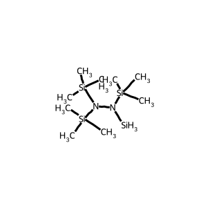 C[Si](C)(C)N([SiH3])N([Si](C)(C)C)[Si](C)(C)C